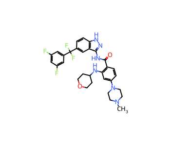 CN1CCN(c2ccc(C(=O)Nc3n[nH]c4ccc(C(F)(F)c5cc(F)cc(F)c5)cc34)c(NC3CCOCC3)c2)CC1